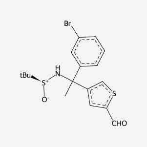 CC(N[S@@+]([O-])C(C)(C)C)(c1cccc(Br)c1)c1csc(C=O)c1